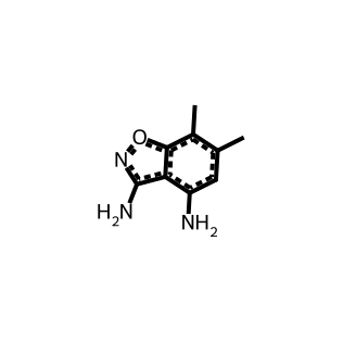 Cc1cc(N)c2c(N)noc2c1C